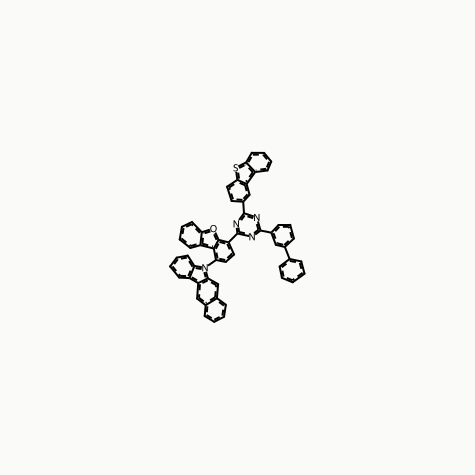 c1ccc(-c2cccc(-c3nc(-c4ccc5sc6ccccc6c5c4)nc(-c4ccc(-n5c6ccccc6c6cc7ccccc7cc65)c5c4oc4ccccc45)n3)c2)cc1